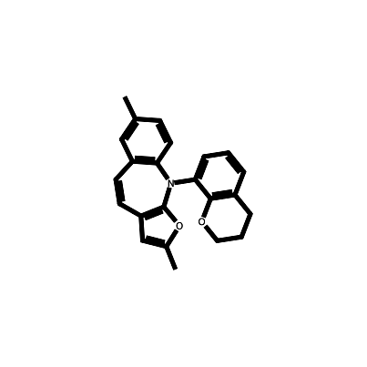 Cc1ccc2c(c1)C=Cc1cc(C)oc1N2c1cccc2c1OCCC2